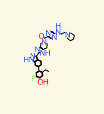 CCc1cc(O)c(F)cc1-c1ccc2c(-c3nc4c([nH]3)CCN(C(=O)c3cnc(NCCN5CCCCC5)cn3)C4)n[nH]c2c1